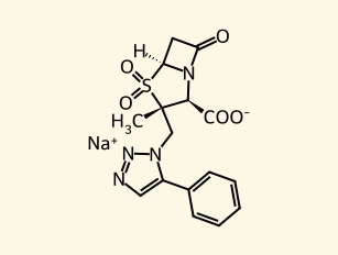 C[C@]1(Cn2nncc2-c2ccccc2)[C@H](C(=O)[O-])N2C(=O)C[C@@H]2S1(=O)=O.[Na+]